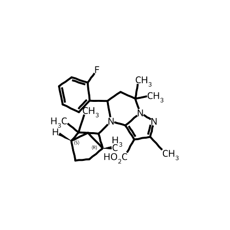 Cc1nn2c(c1C(=O)O)N(C1C(C)(C)[C@H]3CC[C@]1(C)C3)C(c1ccccc1F)CC2(C)C